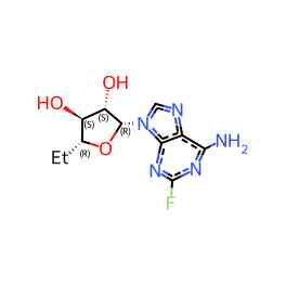 CC[C@H]1O[C@@H](n2cnc3c(N)nc(F)nc32)[C@@H](O)[C@@H]1O